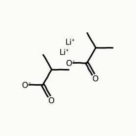 CC(C)C(=O)[O-].CC(C)C(=O)[O-].[Li+].[Li+]